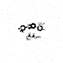 CC(C)(C)OC(=O)OC(=O)OC(C)(C)C.C[C@H]1CC[C@H](c2ccc3nn(C4CCN(C)C(C)(C)C4)cc3c2)N(C(=O)O)C1